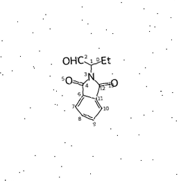 CCC(C=O)N1C(=O)c2ccccc2C1=O